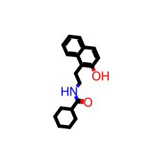 O=C(NCCc1c(O)ccc2ccccc12)C1CCCCC1